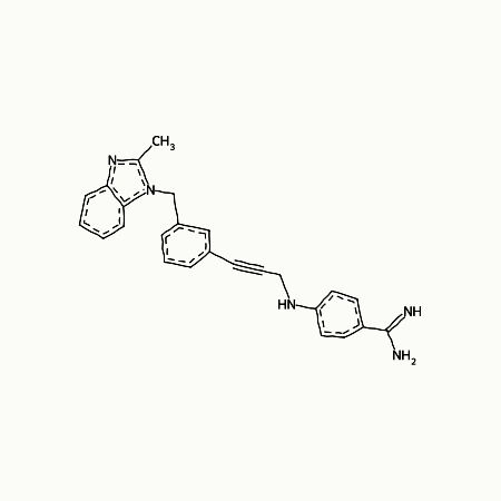 Cc1nc2ccccc2n1Cc1cccc(C#CCNc2ccc(C(=N)N)cc2)c1